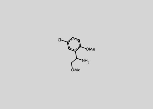 COCC(N)c1cc(Cl)ccc1OC